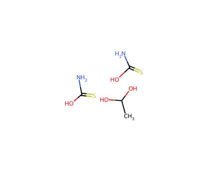 CC(O)O.NC(O)=S.NC(O)=S